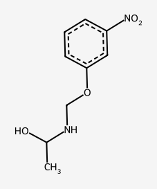 CC(O)NCOc1cccc([N+](=O)[O-])c1